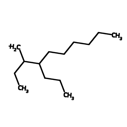 [CH2]C(CC)C(CCC)CCCCCC